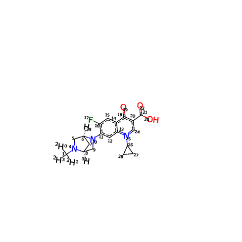 [2H]C([2H])([2H])N1C[C@@H]2C[C@H]1CN2c1cc2c(cc1F)c(=O)c(C(=O)O)cn2C1CC1